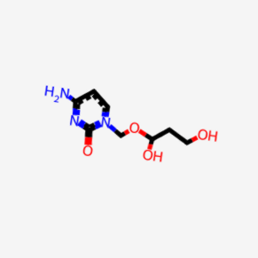 Nc1ccn(COC(O)CCO)c(=O)n1